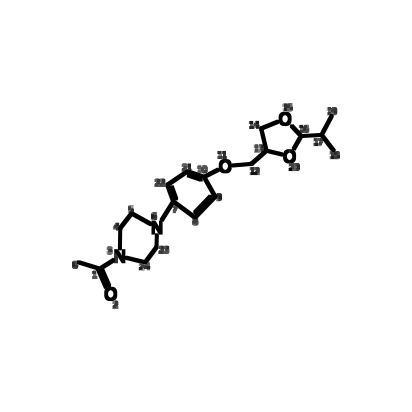 CC(=O)N1CCN(c2ccc(OCC3COC(C(C)C)O3)cc2)CC1